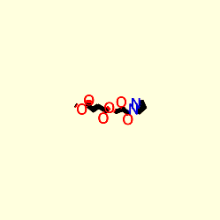 COC(=O)/C=C/C(=O)OCC(=O)C(=O)n1cccn1